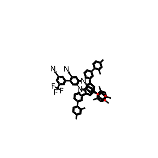 Cc1ccc(-c2ccc3c(c2)c2cc(-c4ccc(C)cc4C)ccc2n3-c2cc(C#N)c(-c3cc(C#N)cc(C(F)(F)F)c3)cc2-n2c3ccc(-c4ccc(C)cc4C)cc3c3cc(-c4ccc(C)cc4C)ccc32)c(C)c1